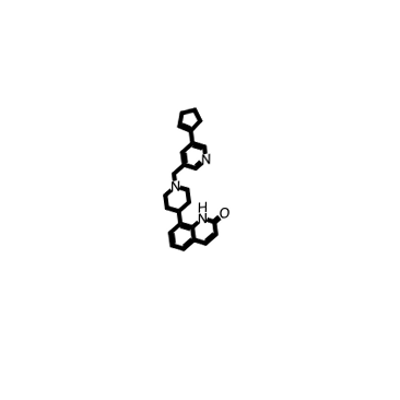 O=c1ccc2cccc(C3CCN(Cc4cncc(C5=CCCC5)c4)CC3)c2[nH]1